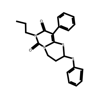 CCCn1c(=O)c(-c2ccccc2)c2n(c1=O)CCC(Sc1ccccc1)S2